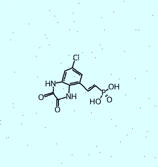 O=c1[nH]c2cc(Cl)cc(/C=C/P(=O)(O)O)c2[nH]c1=O